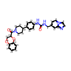 O=C(NCc1ccn2ccnc2c1)Nc1ccc(C2CCN(C(=O)C3COc4ccccc4O3)CC2)cc1